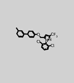 CC1C=C(C2C=CC(OCc3cc(C(F)(F)F)nn3-c3c(Cl)cccc3Cl)=CC2)C=CC1